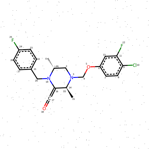 C[C@@H]1CN(COc2ccc(Cl)c(F)c2)[C@@H](C)C(=C=O)N1Cc1ccc(F)cc1